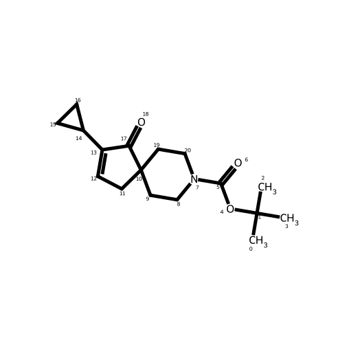 CC(C)(C)OC(=O)N1CCC2(CC=C(C3CC3)C2=O)CC1